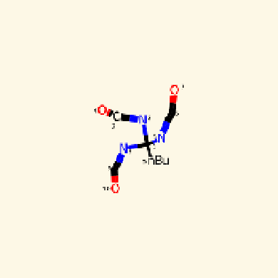 [CH2]CCCC(N=C=O)(N=C=O)N=C=O